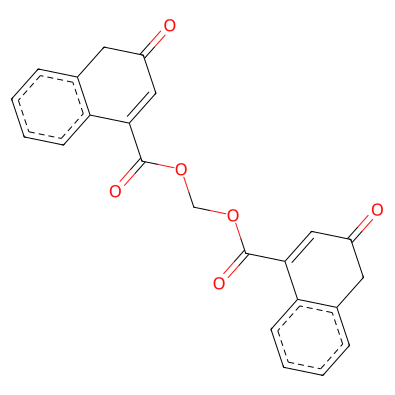 O=C1C=C(C(=O)OCOC(=O)C2=CC(=O)Cc3ccccc32)c2ccccc2C1